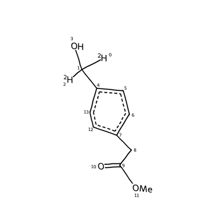 [2H]C([2H])(O)c1ccc(CC(=O)OC)cc1